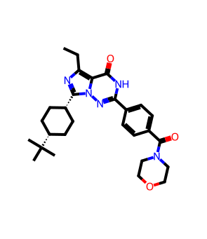 CCc1nc([C@H]2CC[C@@H](C(C)(C)C)CC2)n2nc(-c3ccc(C(=O)N4CCOCC4)cc3)[nH]c(=O)c12